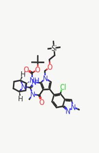 Cn1cc2c(Cl)c(-c3cn(COCC[Si](C)(C)C)c4nc(N5[C@H]6CC[C@@H]5[C@H](NC(=O)OC(C)(C)C)C6)n(C)c(=O)c34)ccc2n1